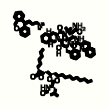 CC(C)(C)NC(=O)[C@@H]1C[C@@H]2CCCC[C@@H]2CN1C[C@@H](O)[C@H](Cc1ccccc1)NC(=O)[C@H](CC(N)=O)NC(=O)c1ccc2ccccc2n1.CCCCCCCCCCC[C@@H](C[C@@H]1OC(=O)[C@H]1CCCCCC)OC(=O)[C@H](CC(C)C)NC=O.CN(C)CCC=C1c2ccccc2COc2ccccc21